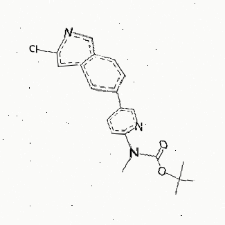 CN(C(=O)OC(C)(C)C)c1ccc(-c2ccc3cnc(Cl)cc3c2)cn1